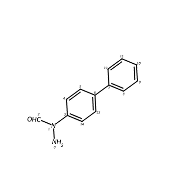 NN(C=O)c1ccc(-c2ccccc2)cc1